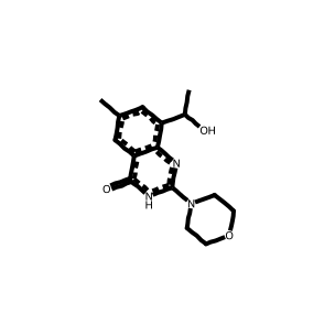 Cc1cc(C(C)O)c2nc(N3CCOCC3)[nH]c(=O)c2c1